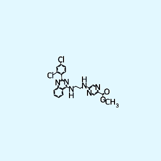 COC(=O)c1cnc(NCCNc2nc(-c3ccc(Cl)cc3Cl)nc3ccccc23)cn1